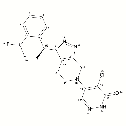 C[C@@H](c1ccccc1C(F)F)n1nnc2c1CCN(c1cn[nH]c(=O)c1Cl)C2